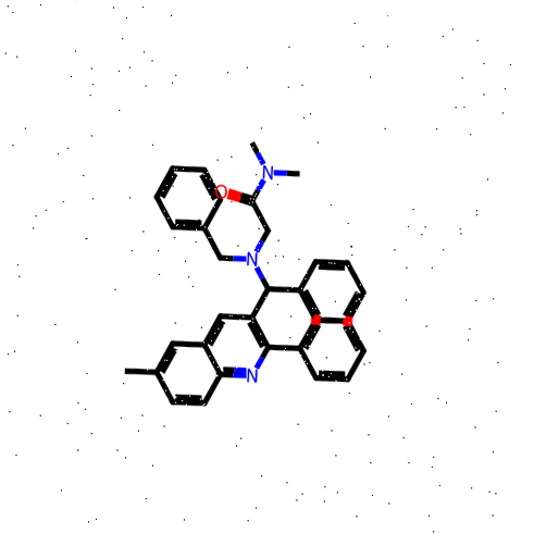 Cc1ccc2nc(-c3ccccc3)c(C(c3ccccc3)N(CC(=O)N(C)C)Cc3ccccc3)cc2c1